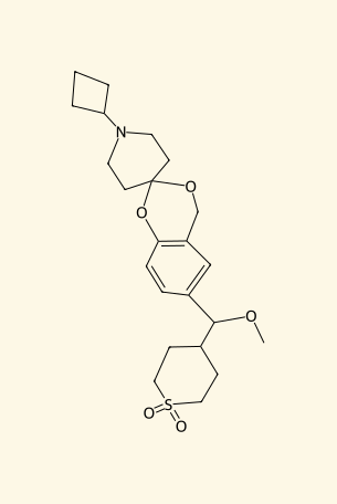 COC(c1ccc2c(c1)COC1(CCN(C3CCC3)CC1)O2)C1CCS(=O)(=O)CC1